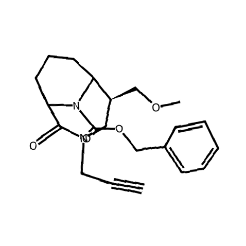 C#CCN1C[C@H](COC)C2CCCC(C1=O)N2C(=O)OCc1ccccc1